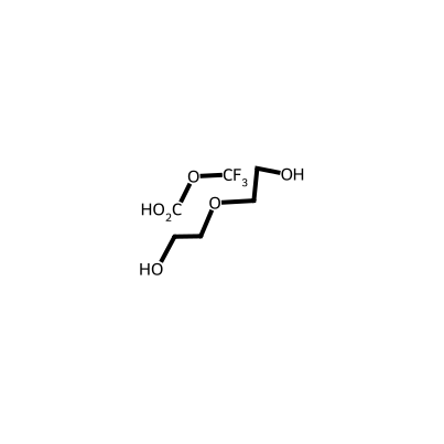 O=C(O)OC(F)(F)F.OCCOCCO